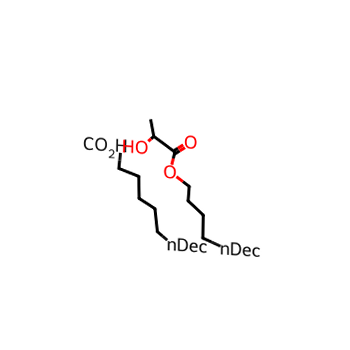 CCCCCCCCCCCCCCCC(=O)O.CCCCCCCCCCCCCCOC(=O)C(C)O